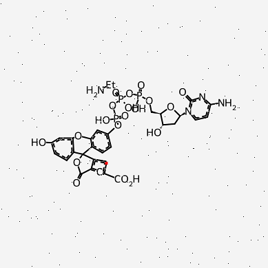 CCN.Nc1ccn([C@H]2C[C@H](O)[C@@H](COP(=O)(O)OP(=O)(O)OP(=O)(O)Oc3ccc4c(c3)Oc3cc(O)ccc3C43OC(=O)c4cc(C(=O)O)ccc43)O2)c(=O)n1